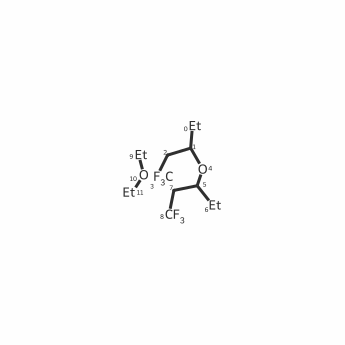 CCC(CC(F)(F)F)OC(CC)CC(F)(F)F.CCOCC